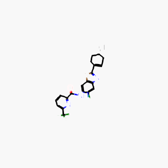 C[C@@H]1CC=C(c2nc3cc(F)c(NC(=O)c4cccc(C(F)(F)F)n4)cc3s2)CC1